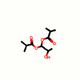 CC(C)C(=O)OC(OC(=O)C(C)C)C(C)O